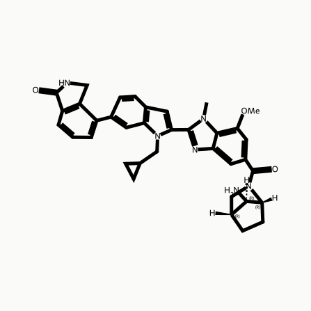 COc1cc(C(=O)N2C[C@H]3CC[C@@H]2[C@@H]3N)cc2nc(-c3cc4ccc(-c5cccc6c5CNC6=O)cc4n3CC3CC3)n(C)c12